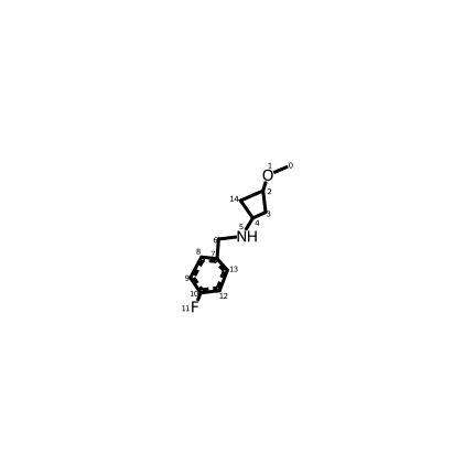 COC1CC(NCc2ccc(F)cc2)C1